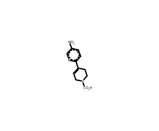 O=C(O)N1CC=C(c2ccc([N+](=O)[O-])cn2)CC1